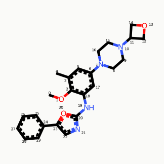 COc1c(C)cc(N2CCN(C3COC3)CC2)cc1Nc1ncc(-c2ccccc2)o1